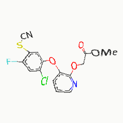 COC(=O)COc1ncccc1Oc1cc(SC#N)c(F)cc1Cl